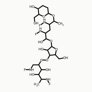 CC(NF)C(O)C(O)C(CNF)OOC1C(CO)OC(OC(O)C(CC(NF)C(C)OC2CCC(O)C(CO)O2)NF)C1O